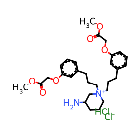 COC(=O)COc1cccc(CCC[N+]2(CCCc3cccc(OCC(=O)OC)c3)CCCC(N)C2)c1.Cl.[Cl-]